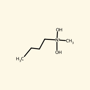 CCCC[N+](C)(O)O